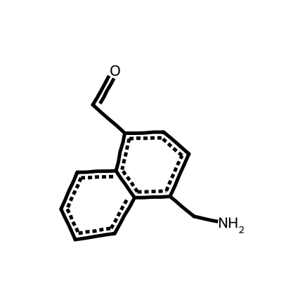 NCc1ccc(C=O)c2ccccc12